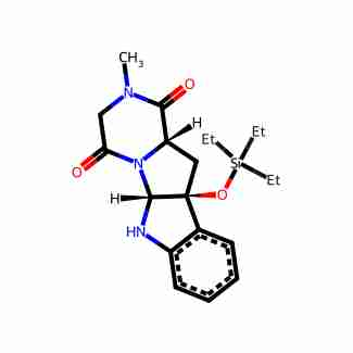 CC[Si](CC)(CC)O[C@]12C[C@H]3C(=O)N(C)CC(=O)N3[C@H]1Nc1ccccc12